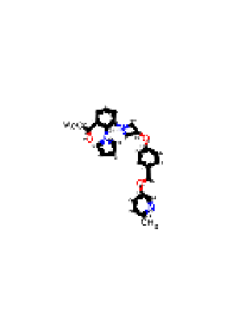 COC(=O)c1cccc(N2CC(Oc3ccc(COc4ccc(C)nc4)cc3)C2)c1-n1cccc1